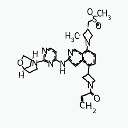 C=CC(=O)N1CC(c2ccc(N3C[C@H](CS(C)(=O)=O)[C@H]3C)c3cnc(Nc4ccnc(N5CC[C@@H]6C[C@H]5CO6)n4)cc23)C1